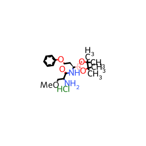 COCC(N)C(=O)N[C@@H](CCOc1ccccc1)B1OC(C)(C)C(C)(C)O1.Cl